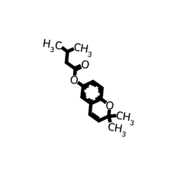 CC(C)CC(=O)Oc1ccc2c(c1)C=CC(C)(C)O2